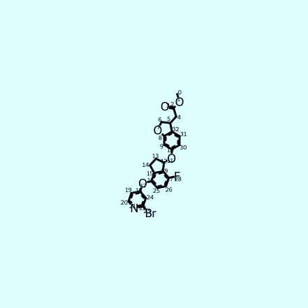 COC(=O)CC1COc2cc(O[C@@H]3CCc4c(Oc5ccnc(Br)c5)ccc(F)c43)ccc21